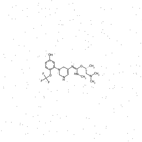 CN/C(=N\C1=CNCN(c2cc(O)ccc2OC(F)(F)F)C1)O[C@H](C)CN(C)C